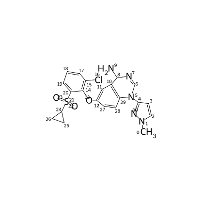 Cn1ccc(N2C=NC(N)c3cc(Oc4c(Cl)cccc4S(=O)(=O)C4CC4)ccc32)n1